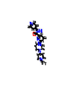 CC(C)N1CCC(N2CCCN(c3cccc(C(=O)Nc4ccncc4)n3)CC2)CC1